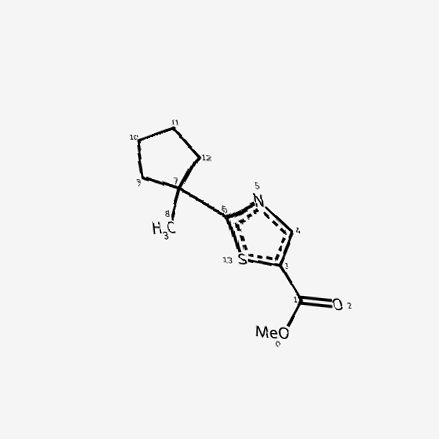 COC(=O)c1cnc(C2(C)CCCC2)s1